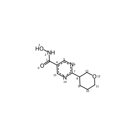 O=C(NO)c1cnc(C2[CH]CCOC2)nc1